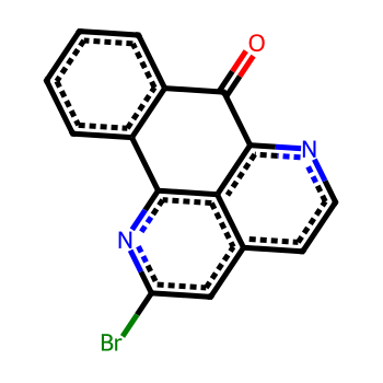 O=C1c2ccccc2-c2nc(Br)cc3ccnc1c23